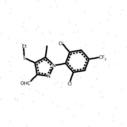 CCSc1c(C=O)nn(-c2c(Cl)cc(C(F)(F)F)cc2Cl)c1C